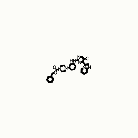 O=C(OCc1ccccc1)N1CCN([C@H]2CCC[C@@H](Nc3ncc(Cl)c(-c4cnc5ccccn45)n3)C2)CC1